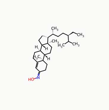 CC[C@H](CC[C@@H](C)[C@H]1CC[C@H]2[C@@H]3CCC4=CC(=NO)CC[C@]4(C)[C@H]3CC[C@]12C)C(C)C